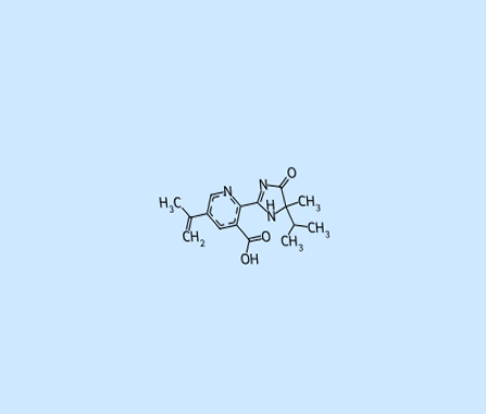 C=C(C)c1cnc(C2=NC(=O)C(C)(C(C)C)N2)c(C(=O)O)c1